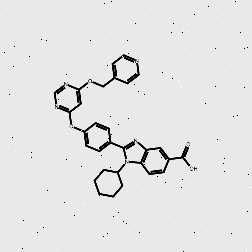 O=C(O)c1ccc2c(c1)nc(-c1ccc(Oc3cc(OCc4ccncc4)ncn3)cc1)n2C1CCCCC1